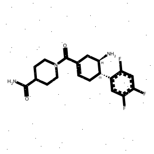 NC(=O)C1CCN(C(=O)C2=CC[C@@H](c3cc(F)c(F)cc3F)[C@H](N)C2)CC1